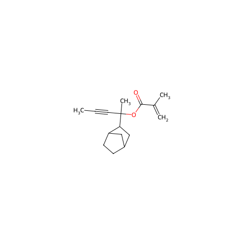 C=C(C)C(=O)OC(C)(C#CC)C1CC2CCC1C2